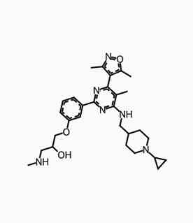 CNCC(O)COc1cccc(-c2nc(NCC3CCN(C4CC4)CC3)c(C)c(-c3c(C)noc3C)n2)c1